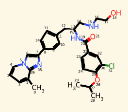 Cc1cccn2cc(-c3ccc(C[C@@H](CNCCO)NC(=O)c4ccc(OC(C)C)c(Cl)c4)cc3)nc12